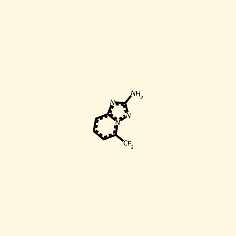 Nc1nc2cccc(C(F)(F)F)n2n1